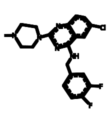 CN1CCN(c2nc(NCc3ccc(F)c(F)c3)c3cc(Cl)ccc3n2)CC1